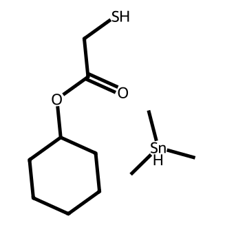 O=C(CS)OC1CCCCC1.[CH3][SnH]([CH3])[CH3]